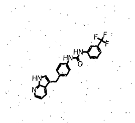 O=C(Nc1ccc(Cc2c[nH]c3ncccc23)cc1)Nc1cccc(C(F)(F)F)c1